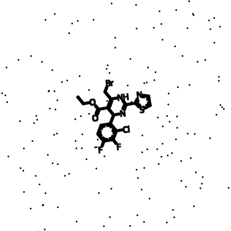 CCOC(=O)C1=C(CBr)NC(c2nccs2)=NC1c1ccc(F)c(F)c1Cl